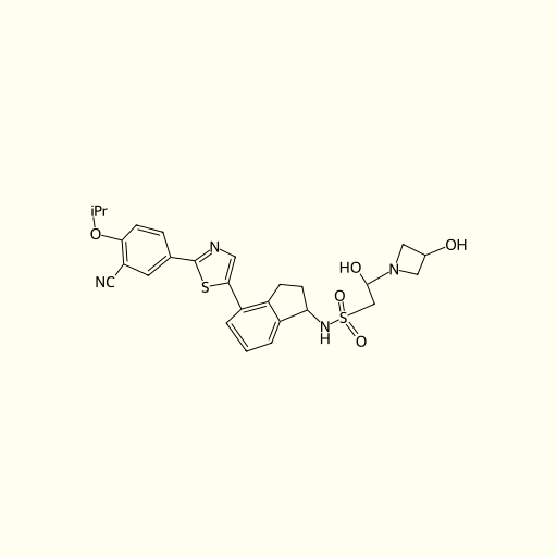 CC(C)Oc1ccc(-c2ncc(-c3cccc4c3CCC4NS(=O)(=O)CC(O)N3CC(O)C3)s2)cc1C#N